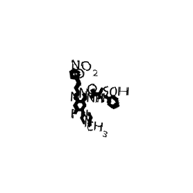 CN1CCN(c2cc3c(NC(=O)c4csc(-c5ccccc5O)n4)nc(/C=C/c4ccc([N+](=O)[O-])o4)nc3cc2F)CC1